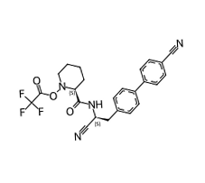 N#Cc1ccc(-c2ccc(C[C@@H](C#N)NC(=O)[C@@H]3CCCCN3OC(=O)C(F)(F)F)cc2)cc1